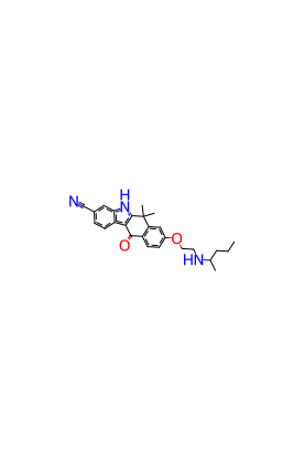 CCCC(C)NCCOc1ccc2c(c1)C(C)(C)c1[nH]c3cc(C#N)ccc3c1C2=O